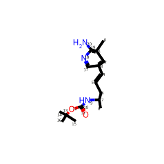 Cc1cc(/C=C/CC(C)NC(=O)OC(C)(C)C)cnc1N